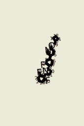 Fc1cc(-c2ccc(OCC3CCC3)nc2)ccc1[C@H]1CCC(c2c(F)cccc2F)=N1